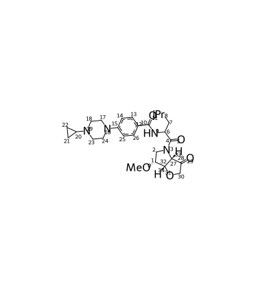 CO[C@@H]1CN(C(=O)C(CC(C)C)NC(=O)c2ccc(N3CCN(C4CC4)CC3)cc2)[C@@H]2C(=O)CO[C@@H]21